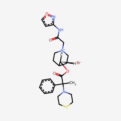 CC(C(=O)O[C@H]1C[N+]2(CC(=O)Nc3ccon3)CCC1CC2)(c1ccccc1)N1CCSCC1.[Br-]